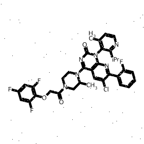 Cc1ccnc(C(C)C)c1-n1c(=O)nc(N2CCN(C(=O)COc3c(F)cc(F)cc3F)CC2C)c2cc(Cl)c(-c3ccccc3F)nc21